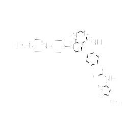 CN1CCN(C2CCC(n3cc(-c4ccc(CC(=O)Nc5cc(C(C)(C)C)on5)cc4)c4c(N)ncnc43)CC2)CC1